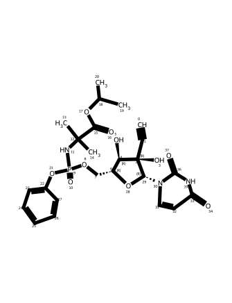 C#C[C@@]1(O)[C@H](O)[C@@H](COP(=O)(NC(C)(C)C(=O)OC(C)C)Oc2ccccc2)O[C@H]1n1ccc(=O)[nH]c1=O